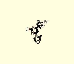 CC1COCCN1c1cc(C(C)(C)S(=O)(=O)C(C)C)nc(Cl)n1